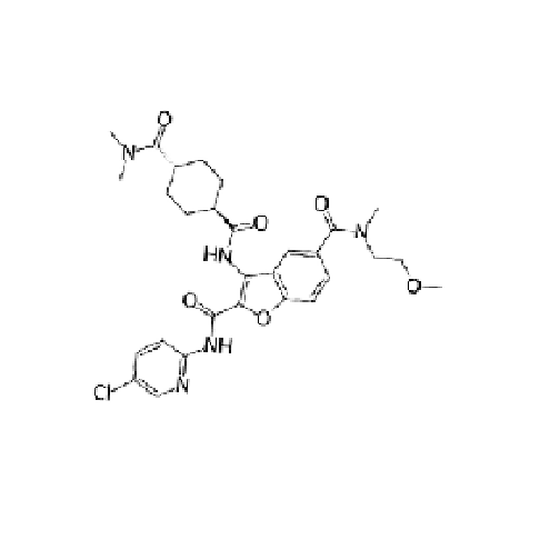 COCCN(C)C(=O)c1ccc2oc(C(=O)Nc3ccc(Cl)cn3)c(NC(=O)[C@H]3CC[C@H](C(=O)N(C)C)CC3)c2c1